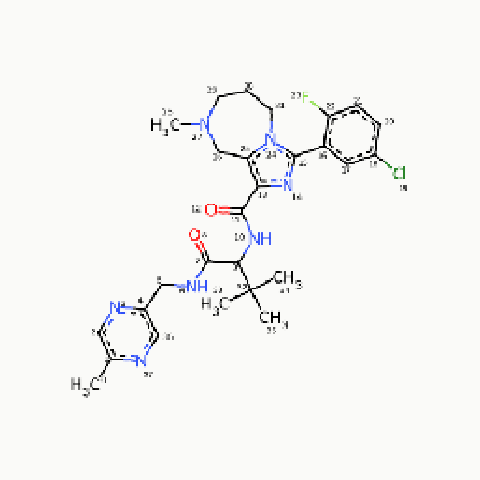 Cc1cnc(CNC(=O)C(NC(=O)c2nc(-c3cc(Cl)ccc3F)n3c2CN(C)CCC3)C(C)(C)C)cn1